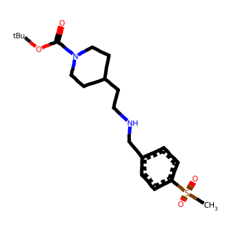 CC(C)(C)OC(=O)N1CCC(CCNCc2ccc(S(C)(=O)=O)cc2)CC1